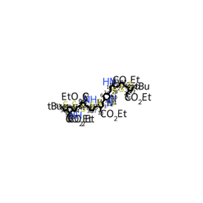 CCOC(=O)Cc1cc(-c2ccc(-c3cc(NC(=O)OCC)c(-c4ccc(-c5sc(C(C)(C)C)cc5CC(=O)OCC)s4)s3)c3nsnc23)sc1-c1ccc(-c2sc(-c3cc4c(s3)-c3sc(C(C)(C)C)cc3C4(CC(=O)OCC)NC(=O)OCC)cc2NC(=O)OCC)s1